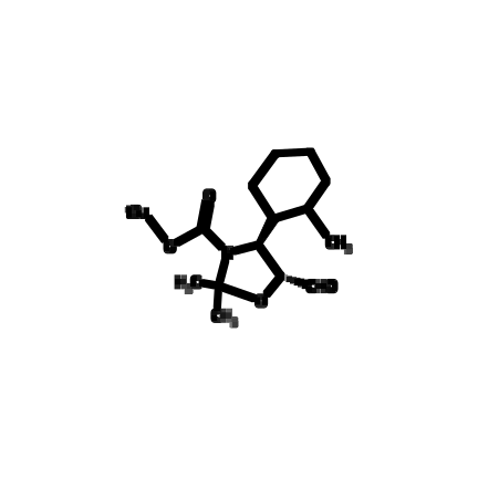 CC1CCCCC1[C@H]1[C@H](C=O)OC(C)(C)N1C(=O)OC(C)(C)C